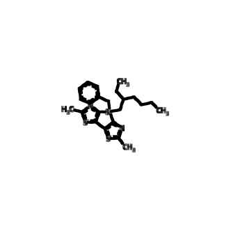 CCCCC(CC)C[Si]1(Cc2ccccc2)c2nc(C)sc2-c2sc(C)nc21